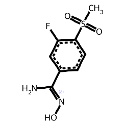 CS(=O)(=O)c1ccc(/C(N)=N/O)cc1F